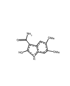 COc1cc2[nH]c(O)c(C(N)=O)c2cc1OC